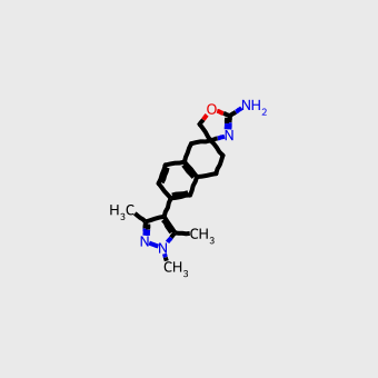 Cc1nn(C)c(C)c1-c1ccc2c(c1)CCC1(COC(N)=N1)C2